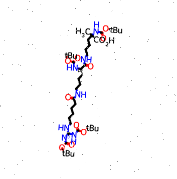 CC(C)(C)OC(=O)/N=C(/NCCCCCC(=O)NCCCC[C@H](NC(=O)OC(C)(C)C)C(=O)NCCCCC(C)(NC(=O)OC(C)(C)C)C(=O)O)NC(=O)OC(C)(C)C